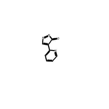 O=C1N=NC=C1c1ccccn1